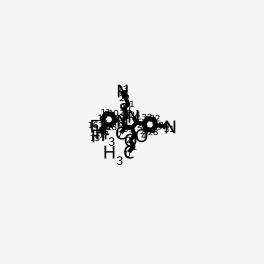 CCOC(=O)C1=C(C)N(c2cccc(C(F)(F)F)c2)C(SCC#N)=NC1c1ccc(C#N)cc1